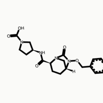 O=C(N[C@H]1CCN(C(=O)O)C1)[C@@H]1CC[C@@H]2CN1C(=O)N2OCc1ccccc1